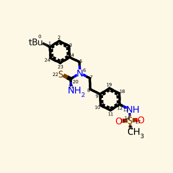 CC(C)(C)c1ccc(CN(CCc2ccc(NS(C)(=O)=O)cc2)C(N)=S)cc1